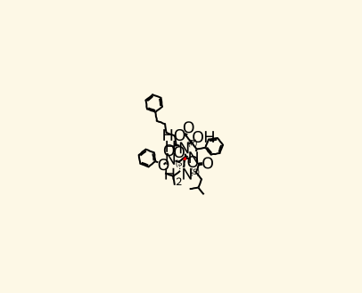 CC(=O)N(C(=O)[C@@H](N)CC(C)C)C(c1ccccc1)[C@@](O)(C(=O)O)N(C(=O)CCCCc1ccccc1)C(=O)[C@H](CC(C)C)NOc1ccccc1